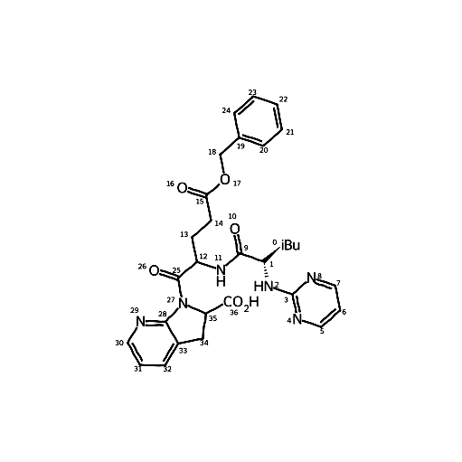 CC[C@H](C)[C@H](Nc1ncccn1)C(=O)NC(CCC(=O)OCc1ccccc1)C(=O)N1c2ncccc2CC1C(=O)O